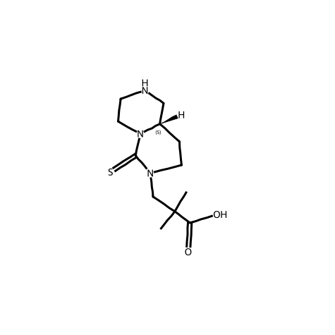 CC(C)(CN1CC[C@H]2CNCCN2C1=S)C(=O)O